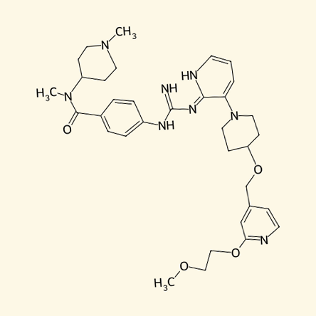 COCCOc1cc(COC2CCN(c3ccc[nH]/c3=N\C(=N)Nc3ccc(C(=O)N(C)C4CCN(C)CC4)cc3)CC2)ccn1